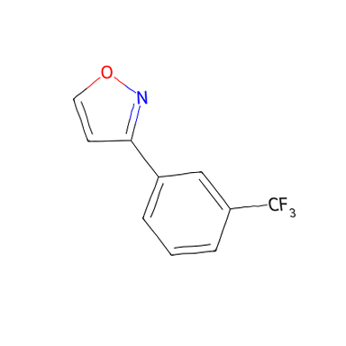 FC(F)(F)c1cccc(-c2ccon2)c1